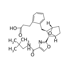 CC(C)(C)CNC(=O)c1coc([C@H]2[C@@H](Cc3ccccc3CCC(=O)O)[C@@H]3CC[C@H]2O3)n1